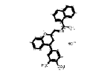 Cc1cc(C2CC(CN[C@H](C)c3cccc4ccccc34)Oc3ccccc32)ccc1C(=O)O.Cl